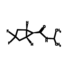 CC(C)NC(=O)[C@H]1[C@@H]2CC(F)(F)C[C@@H]21